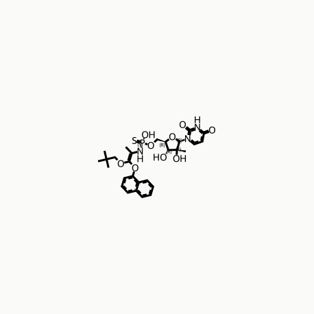 CC(N[P@@](O)(=S)OC[C@H]1O[C@@H](n2ccc(=O)[nH]c2=O)[C@](C)(O)[C@@H]1O)=C(OCC(C)(C)C)Oc1cccc2ccccc12